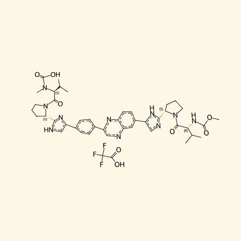 COC(=O)N[C@@H](C(=O)N1CCC[C@H]1c1ncc(-c2ccc3nc(-c4ccc(-c5c[nH]c([C@@H]6CCCN6C(=O)[C@H](C(C)C)N(C)C(=O)O)n5)cc4)cnc3c2)[nH]1)C(C)C.O=C(O)C(F)(F)F